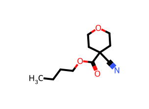 CCCCOC(=O)C1(C#N)CCOCC1